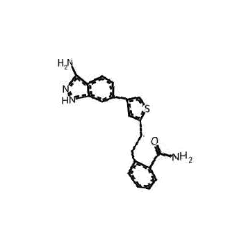 NC(=O)c1ccccc1C[CH]c1cc(-c2ccc3c(N)n[nH]c3c2)cs1